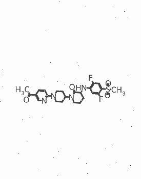 CC(=O)c1ccc(N2CCC(N3CCC[C@H](Nc4cc(F)c(S(C)(=O)=O)cc4F)C3=O)CC2)nc1